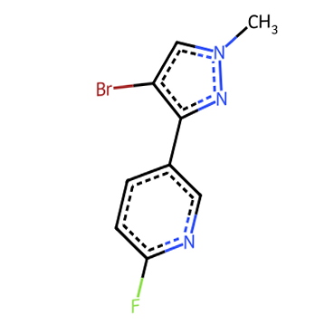 Cn1cc(Br)c(-c2ccc(F)nc2)n1